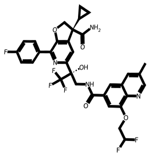 Cc1cnc2c(OCC(F)F)cc(C(=O)NC[C@](O)(c3cc4c(c(-c5ccc(F)cc5)n3)OC[C@@]4(C(N)=O)C3CC3)C(F)(F)F)cc2c1